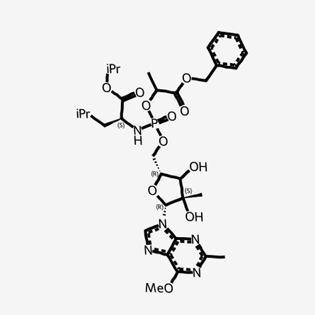 COc1nc(C)nc2c1ncn2[C@@H]1O[C@H](COP(=O)(N[C@@H](CC(C)C)C(=O)OC(C)C)OC(C)C(=O)OCc2ccccc2)C(O)[C@]1(C)O